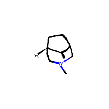 CC1C2CC[C@H]1CN(C)C2